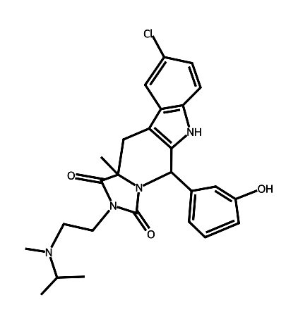 CC(C)N(C)CCN1C(=O)N2C(c3cccc(O)c3)c3[nH]c4ccc(Cl)cc4c3CC2(C)C1=O